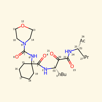 CCCC[C@H](NC(=O)C1(NC(=O)N2CCOCC2)CCCCC1)C(=O)C(=O)N[C@H](C(C)=O)C(C)C